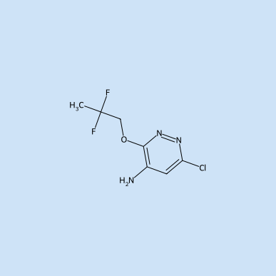 CC(F)(F)COc1nnc(Cl)cc1N